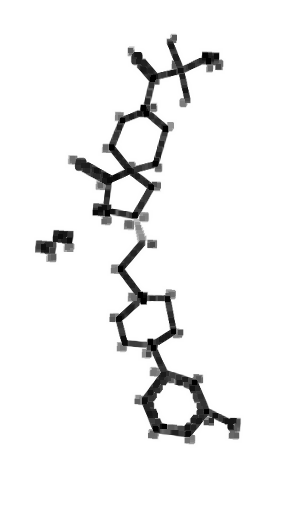 CC(C)(N)C(=O)N1CCC2(CC1)C[C@H](CCN1CCN(c3cccc(Cl)c3)CC1)NC2=O.Cl.Cl